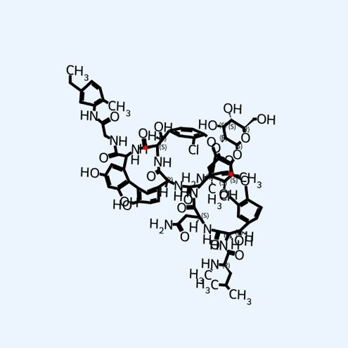 CCc1ccc(C)c(NC(=O)CNC(=O)C2NC(=O)[C@H]3NC(=O)[C@H](NC(=O)C4NC(=O)[C@H](CC(N)=O)NC(=O)[C@H](NC(=O)[C@@H](CC(C)C)NC)[C@H](O)c5ccc(c(Cl)c5)Oc5cc4cc(c5O[C@@H]4O[C@H](CO)[C@@H](O)[C@H](O)[C@H]4OC4C[C@](C)(N)[C@H](O)[C@H](C)O4)Oc4ccc(cc4Cl)[C@H]3O)c3ccc(O)c(c3)-c3c(O)cc(O)cc32)c1